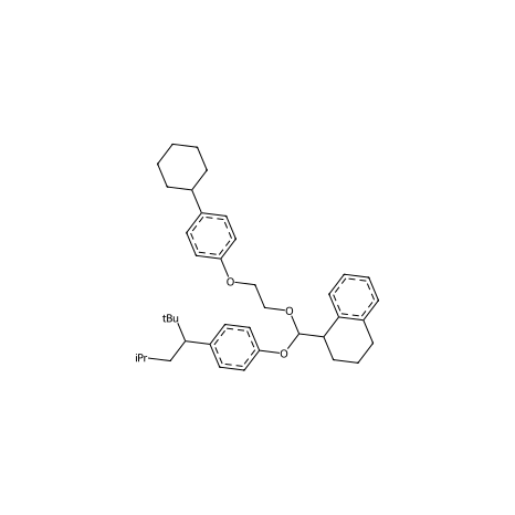 CC(C)CC(c1ccc(OC(OCCOc2ccc(C3CCCCC3)cc2)C2CCCc3ccccc32)cc1)C(C)(C)C